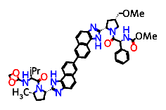 COC[C@H]1C[C@@H](c2nc3ccc4cc(-c5ccc6c(ccc7nc([C@@H]8CC[C@H](C)N8C(=O)[C@@H](NC8OCO8)C(C)C)[nH]c76)c5)ccc4c3[nH]2)N(C(=O)[C@H](NC(=O)OC)c2ccccc2)C1